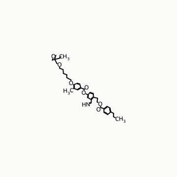 CCCc1ccc(C(=O)OCCc2ccc(OC(=O)c3ccc(OCCCCCCOCC4(CC)COC4)c(C)c3)cc2C=N)cc1